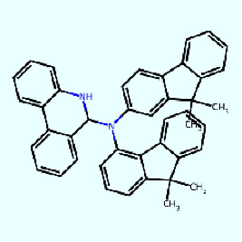 CC1(C)c2ccccc2-c2ccc(N(c3cccc4c3-c3ccccc3C4(C)C)C3Nc4ccccc4-c4ccccc43)cc21